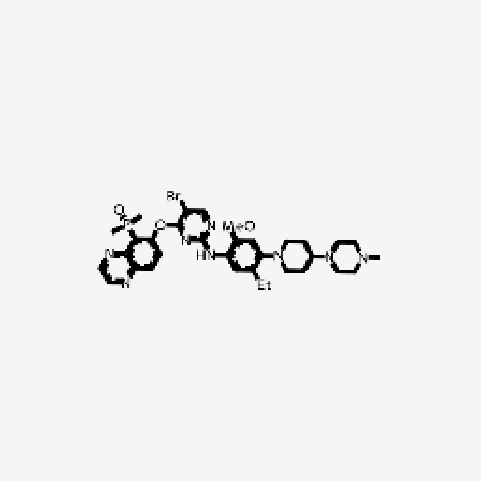 CCc1cc(Nc2ncc(Br)c(Oc3ccc4nccnc4c3P(C)(C)=O)n2)c(OC)cc1N1CCC(N2CCN(C)CC2)CC1